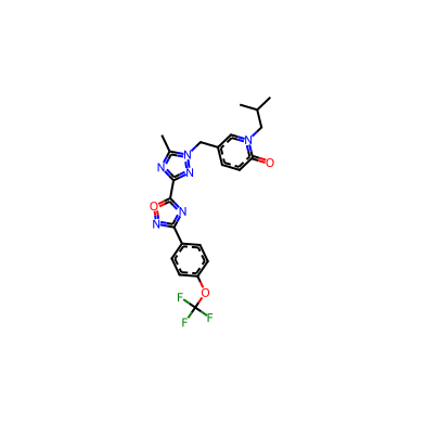 Cc1nc(-c2nc(-c3ccc(OC(F)(F)F)cc3)no2)nn1Cc1ccc(=O)n(CC(C)C)c1